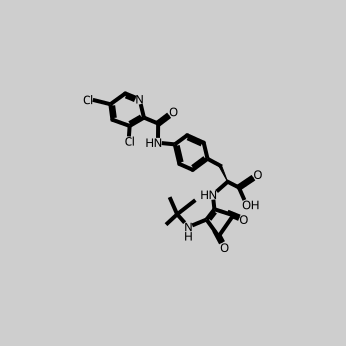 CC(C)(C)Nc1c(N[C@@H](Cc2ccc(NC(=O)c3ncc(Cl)cc3Cl)cc2)C(=O)O)c(=O)c1=O